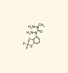 CN(N)C(=O)N(N)c1cccc(SC(F)(F)F)c1I